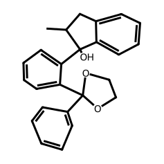 CC1Cc2ccccc2C1(O)c1ccccc1C1(c2ccccc2)OCCO1